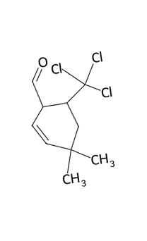 CC1(C)C=CC(C=O)C(C(Cl)(Cl)Cl)C1